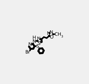 Cc1nnc(CCc2csc(Nc3ncc(Br)cc3Sc3ccccc3)n2)o1